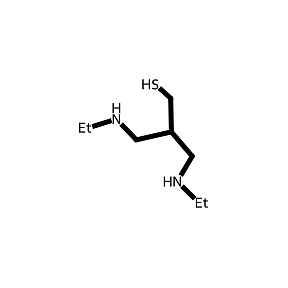 CCNCC(CS)CNCC